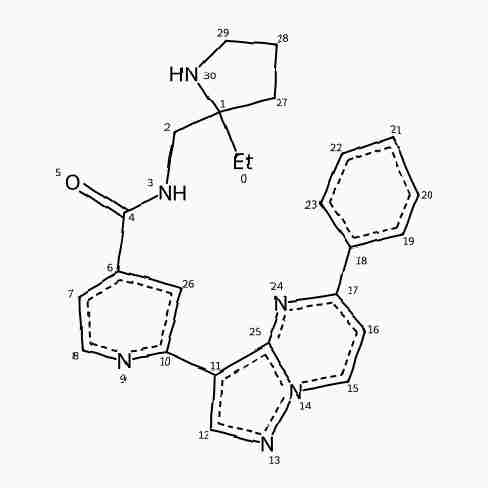 CCC1(CNC(=O)c2ccnc(-c3cnn4ccc(-c5ccccc5)nc34)c2)CCCN1